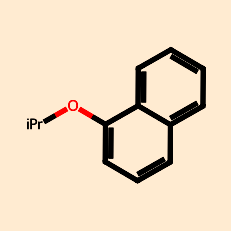 [CH2]C(C)Oc1cccc2ccccc12